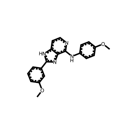 COc1ccc(Nc2nccc3[nH]c(-c4cccc(OC)c4)nc23)cc1